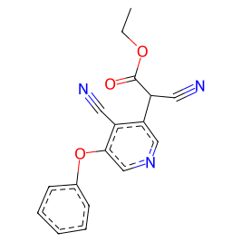 CCOC(=O)C(C#N)c1cncc(Oc2ccccc2)c1C#N